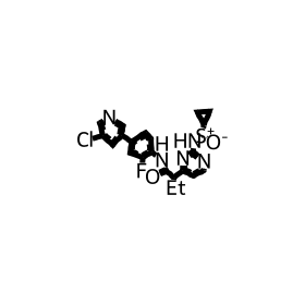 CCC(C(=O)Nc1ccc(-c2cncc(Cl)c2)cc1F)c1ccnc(N[S+]([O-])C2CC2)n1